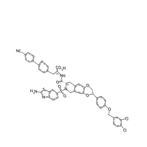 N#Cc1ccc(-c2ccc(C[C@H](NC(=O)[C@@H]3Cc4cc5c(cc4CN3S(=O)(=O)c3ccc4nc(N)sc4c3)OC(c3ccc(OCc4ccc(Cl)c(Cl)c4)cc3)CO5)C(=O)O)cc2)cc1